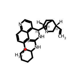 C=C[C@@H]1CN2CCC1C[C@H]2[C@@H](NC(=S)NC1CCCCC1)c1ccnc2ccc(OC)cc12